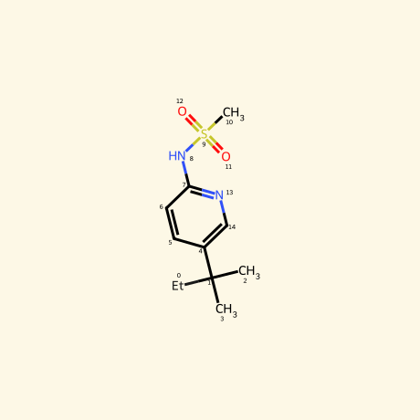 CCC(C)(C)c1ccc(NS(C)(=O)=O)nc1